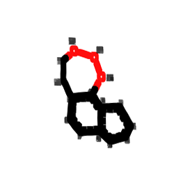 c1ccc2c3c(ccc2c1)CCOOO3